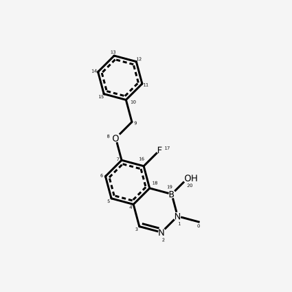 CN1N=Cc2ccc(OCc3ccccc3)c(F)c2B1O